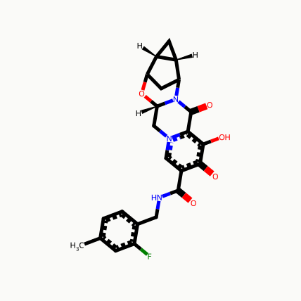 Cc1ccc(CNC(=O)c2cn3c(c(O)c2=O)C(=O)N2C4CC(O[C@H]2C3)[C@@H]2C[C@H]42)c(F)c1